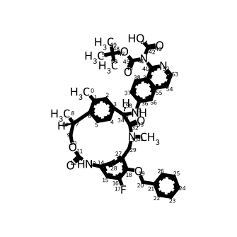 Cc1cc2ccc1[C@@H](C)COC(=O)Nc1cc(F)c(OCc3ccccc3)c(c1)CN(C)C(=O)[C@@H]2Nc1ccc2c(N(C(=O)O)C(=O)OC(C)(C)C)nccc2c1